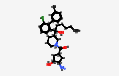 CCc1cccc(-c2c(Cl)cccc2[C@](O)(CCCCOC)[C@@H]2CCCN(C(=O)[C@H]3C[C@@H](N)[C@@H](O)C3)C2)c1